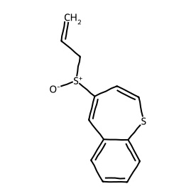 C=CC[S+]([O-])C1=Cc2ccccc2SC=C1